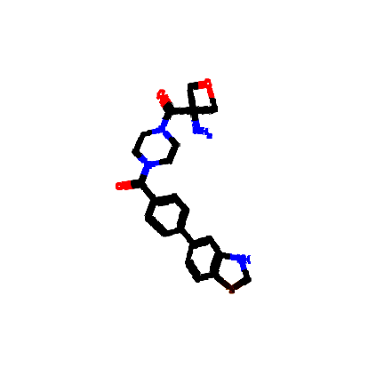 NC1(C(=O)N2CCN(C(=O)c3ccc(-c4ccc5c(c4)NCS5)cc3)CC2)COC1